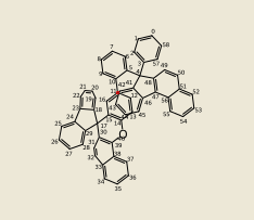 c1ccc(C2(c3ccccc3-c3ccc4c(c3)C3(c5ccccc5-c5ccccc53)c3ccc5ccccc5c3O4)c3ccccc3-c3c2ccc2ccccc32)cc1